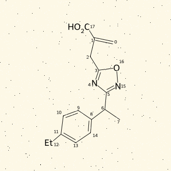 C=C(Cc1nc(C(C)c2ccc(CC)cc2)no1)C(=O)O